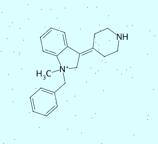 C[N+]1(Cc2ccccc2)CC(=C2CCNCC2)c2ccccc21